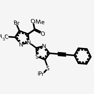 COC(=O)c1c(Br)c(C)nn1-c1nc(C#Cc2ccccc2)c(SC(C)C)s1